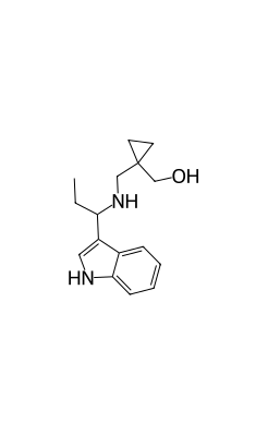 CCC(NCC1(CO)CC1)c1c[nH]c2ccccc12